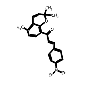 CCN(CC)c1ccc(/C=C/C(=O)c2ccc(C)c3c2OC(C)(C)C=C3)cc1